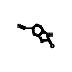 N#Cc1ccc2[nH]c(=O)sc2c1